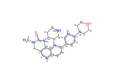 CN1Cc2cnc3ccc(-c4ccc(N5CCOCC5)nc4)nc3c2N(C2CCNCC2)C1=O